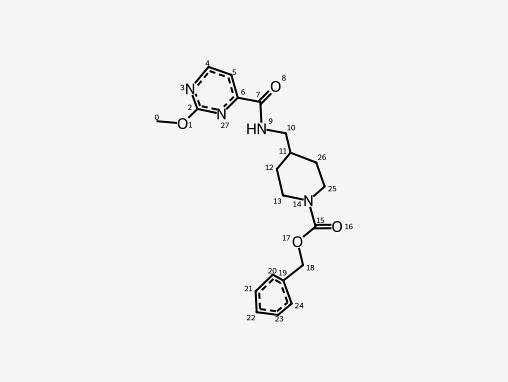 COc1nccc(C(=O)NCC2CCN(C(=O)OCc3ccccc3)CC2)n1